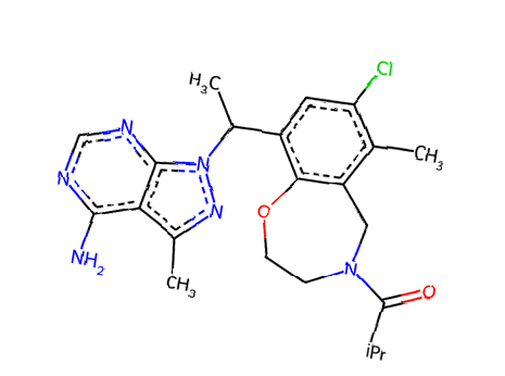 Cc1c(Cl)cc(C(C)n2nc(C)c3c(N)ncnc32)c2c1CN(C(=O)C(C)C)CCO2